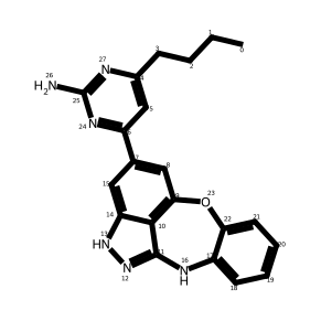 CCCCc1cc(-c2cc3c4c(n[nH]c4c2)Nc2ccccc2O3)nc(N)n1